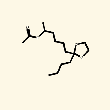 CCCCC1(CCCCC(C)OC(C)=O)OCCO1